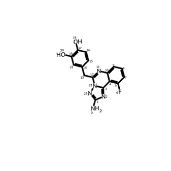 Nc1nc2c3c(F)cccc3nc(Cc3ccc(O)c(O)c3)n2n1